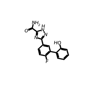 NC(=O)c1nc(-c2ccc(F)c(-c3ccccc3O)c2)n[nH]1